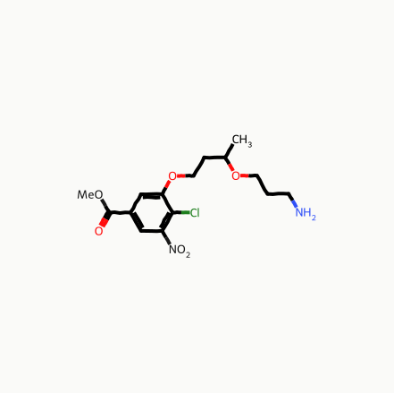 COC(=O)c1cc(OCCC(C)OCCCN)c(Cl)c([N+](=O)[O-])c1